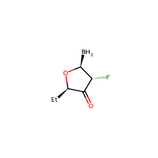 B[C@@H]1O[C@H](CC)C(=O)[C@H]1F